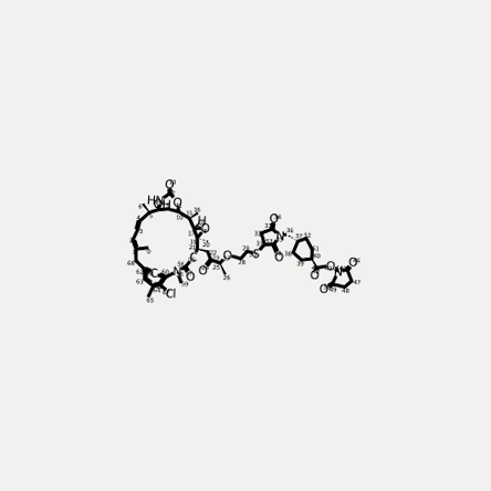 C/C1=C\C=C\[C@@H](C)[C@@]2(O)CC(OC(=O)N2)[C@@H](C)[C@@H]2O[C@@]2(C)[C@@H](CC(=O)[C@H](C)OCCSC2CC(=O)N(C[C@H]3CC[C@H](C(=O)ON4C(=O)CCC4=O)CC3)C2=O)CC(=O)N(C)c2cc(cc(C)c2Cl)C1